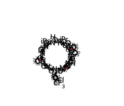 CC[C@H](C)[C@@H]1NC(=O)[C@H](CC(C)C)N(C)C(=O)C[C@@H](C(=O)N2CCCCC2)N(C)C(=O)[C@H](C2CCCCC2)N(C)C(=O)C2(CCCC2)NC(=O)[C@@H]2CCCN2C(=O)[C@H](CCc2ccc(C(F)(F)F)c(Cl)c2)NC(=O)CN(C)C(=O)[C@H](CC2CCCCC2)N(C)C(=O)CN(C)C(=O)[C@H](C)N(C)C1=O